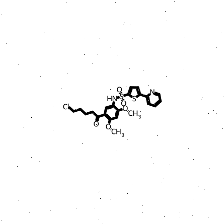 COc1cc(OC)c(C(=O)CCCCCl)cc1NS(=O)(=O)c1ccc(-c2ccccn2)s1